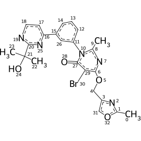 Cc1nc(COc2nc(C)n(-c3cccc(-c4ccnc(C(C)(C)O)n4)c3)c(=O)c2Br)co1